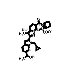 Cc1c(-c2cc3ccc(C(C)O)nc3n2CC2CC2)nn2cc(C(=O)N3CC4CCC3[C@@H]4N(C(=O)[O-])C(C)(C)C)ccc12.[Na+]